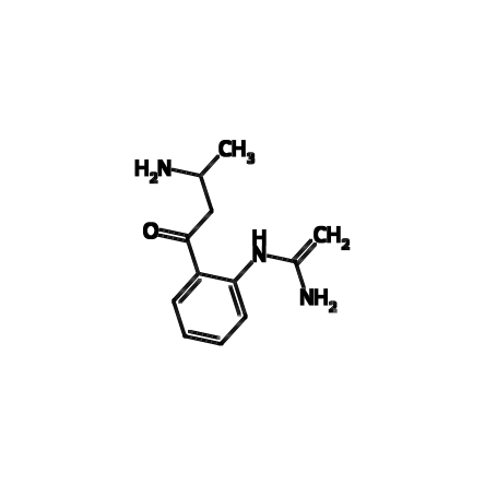 C=C(N)Nc1ccccc1C(=O)CC(C)N